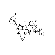 CN1c2nc(OC[C@@]34CCCN3C[C@H](F)C4)nc3c(F)c(-c4ccc(F)c5sc(NC(=O)OC(C)(C)C)c(C#N)c45)c(Cl)c(c23)OC2COCC21